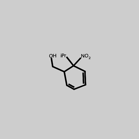 CC(C)C1([N+](=O)[O-])C=CC=CC1CO